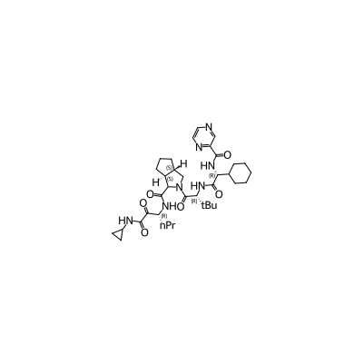 CCC[C@@H](NC(=O)C1[C@H]2CCC[C@@H]2CN1C(=O)[C@H](NC(=O)[C@H](NC(=O)c1cnccn1)C1CCCCC1)C(C)(C)C)C(=O)C(=O)NC1CC1